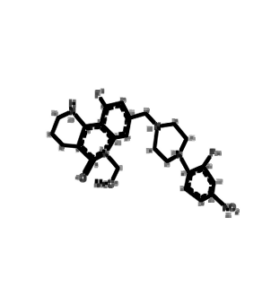 COCn1c(=O)c2c(c3c(F)cc(CN4CCN(c5ccc([N+](=O)[O-])cc5F)CC4)cc31)NCCC2